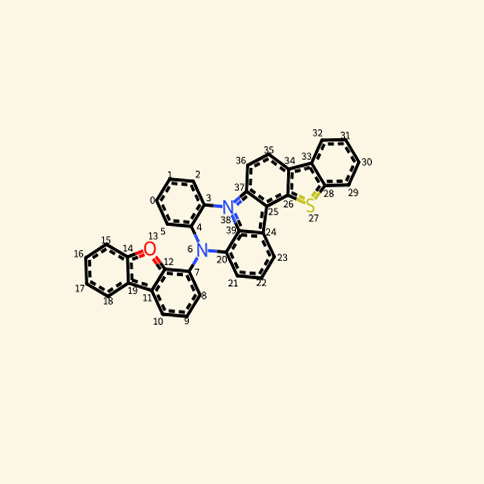 c1ccc2c(c1)N(c1cccc3c1oc1ccccc13)c1cccc3c4c5sc6ccccc6c5ccc4n-2c13